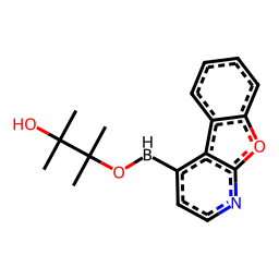 CC(C)(O)C(C)(C)OBc1ccnc2oc3ccccc3c12